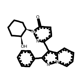 O=c1ccc(-c2c(-c3ccccc3)nn3ccccc23)nn1[C@@H]1CCCC[C@@H]1O